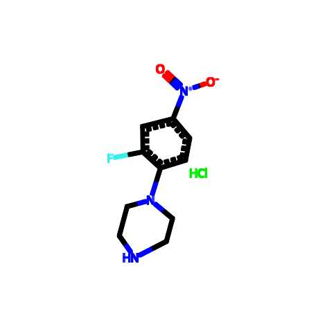 Cl.O=[N+]([O-])c1ccc(N2CCNCC2)c(F)c1